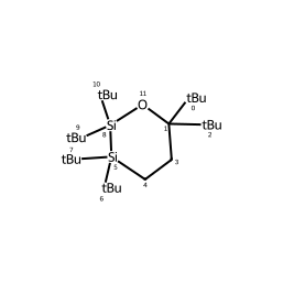 CC(C)(C)C1(C(C)(C)C)CC[Si](C(C)(C)C)(C(C)(C)C)[Si](C(C)(C)C)(C(C)(C)C)O1